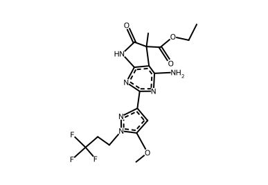 CCOC(=O)C1(C)C(=O)Nc2nc(-c3cc(OC)n(CCC(F)(F)F)n3)nc(N)c21